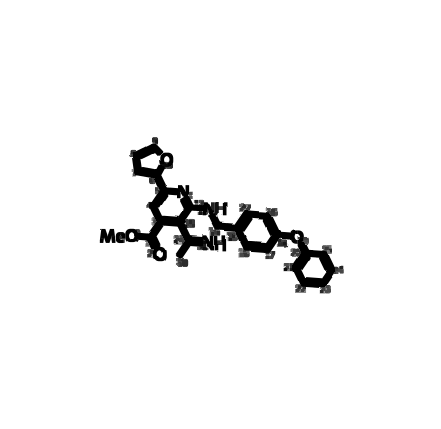 COC(=O)c1cc(-c2ccco2)nc(NCc2ccc(Oc3ccccc3)cc2)c1C(C)=N